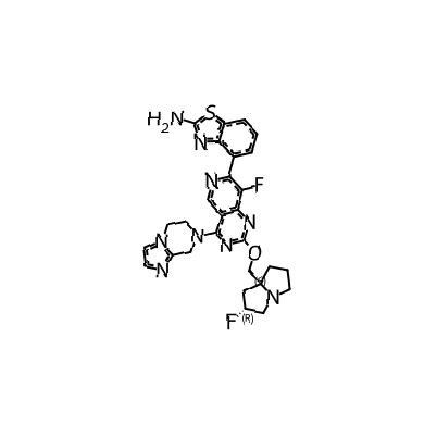 Nc1nc2c(-c3ncc4c(N5CCn6ccnc6C5)nc(OC[C@@]56CCCN5C[C@H](F)C6)nc4c3F)cccc2s1